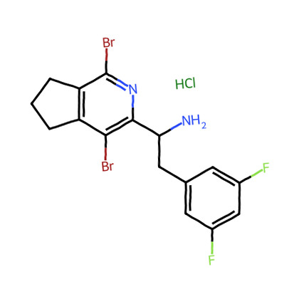 Cl.NC(Cc1cc(F)cc(F)c1)c1nc(Br)c2c(c1Br)CCC2